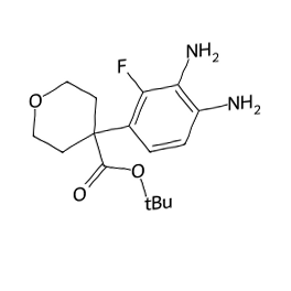 CC(C)(C)OC(=O)C1(c2ccc(N)c(N)c2F)CCOCC1